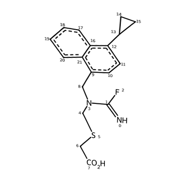 N=C(F)N(CSCC(=O)O)Cc1ccc(C2CC2)c2ccccc12